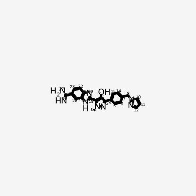 Cn1nc(-c2ccc(Cn3cccn3)cc2)c(O)c1-c1nc2ccc(C(=N)N)cc2[nH]1